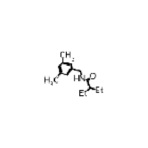 CCC(CC)C(=O)NCc1cc(C)cc(C)c1